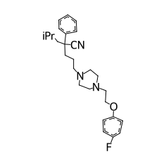 CC(C)CC(C#N)(CCCN1CCN(CCOc2ccc(F)cc2)CC1)c1ccccc1